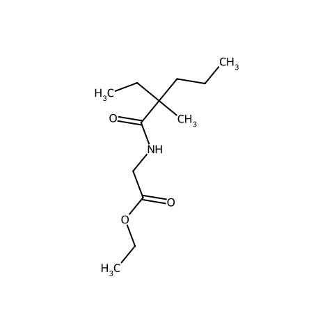 CCCC(C)(CC)C(=O)NCC(=O)OCC